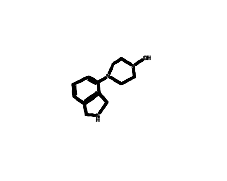 ON1CCN(c2cccc3c2CNC3)CC1